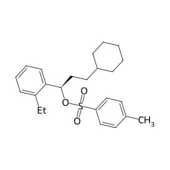 CCc1ccccc1[C@@H](CCC1CCCCC1)OS(=O)(=O)c1ccc(C)cc1